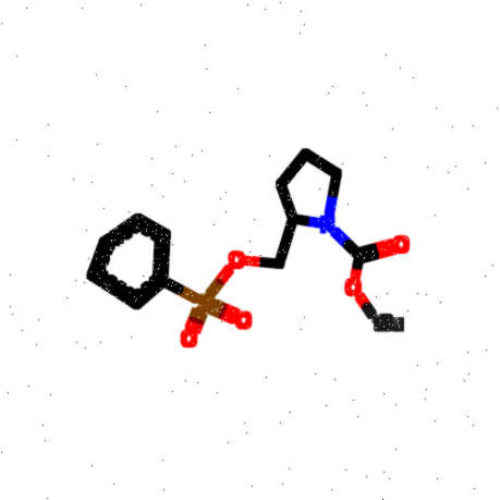 CC(C)(C)OC(=O)N1CCCC1COS(=O)(=O)c1ccccc1